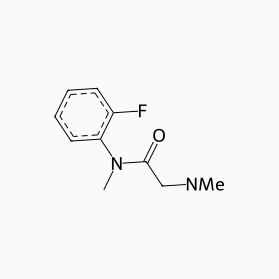 CNCC(=O)N(C)c1ccccc1F